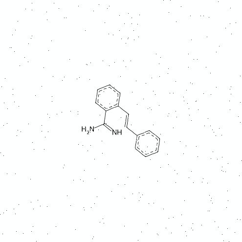 N=C(N)c1ccccc1/C=C/c1ccccc1